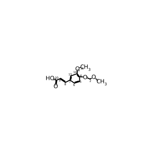 COCOc1ccc(C=CC(=O)O)cc1OC